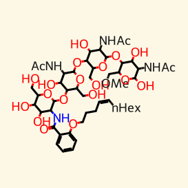 CCCCCC/C=C\CCCOc1ccccc1C(=O)NC1C(OC2C(CO)OC(OC3C(CO)OC(OC4C(COC)OC(O)C(NC(C)=O)C4O)C(NC(C)=O)C3O)C(NC(C)=O)C2O)OC(CO)C(O)C1O